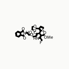 COC(=O)C1=C(CF)NC(COCCN2C(=O)c3ccccc3C2=O)=C(C(=O)O)C1c1sccc1C1OCCO1